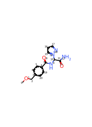 COCc1ccc(C(=O)NC(C(N)=O)n2cccn2)cc1